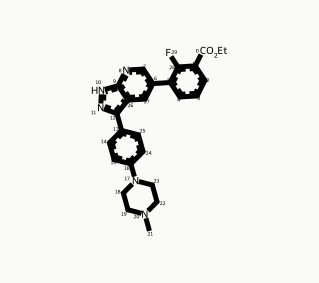 CCOC(=O)c1cccc(-c2cnc3[nH]nc(-c4ccc(N5CCN(C)CC5)cc4)c3c2)c1F